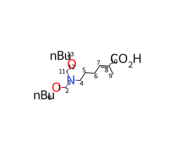 CCCCOCN(CCCC=C(C)C(=O)O)COCCCC